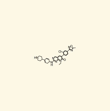 CCn1c(=O)c(-c2ccc(-c3noc(C)n3)cc2Cl)cc2cnc(NC3C=CC(C4CCNCC4)=CC3)nc21